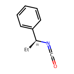 CC[C@H](N=C=O)c1ccccc1